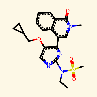 CCN(c1ncc(OCC2CC2)c(-c2cn(C)c(=O)c3ccccc23)n1)S(C)(=O)=O